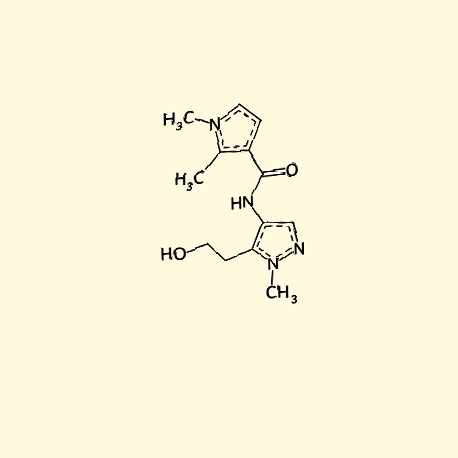 Cc1c(C(=O)Nc2cnn(C)c2CCO)ccn1C